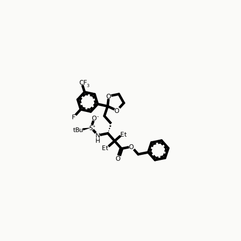 CCC(CC)(C(=O)OCc1ccccc1)[C@@H](CCC1(c2cc(F)cc(C(F)(F)F)c2)OCCO1)N[S@+]([O-])C(C)(C)C